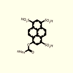 CCCCCCC(=O)Oc1cc(S(=O)(=O)O)c2ccc3c(S(=O)(=O)O)cc(S(=O)(=O)O)c4ccc1c2c43